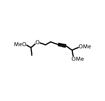 COC(C)OCCC#CC(OC)OC